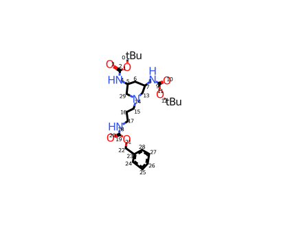 CC(C)(C)OC(=O)NC1CC(NC(=O)OC(C)(C)C)CN(CCCNC(=O)OCc2ccccc2)C1